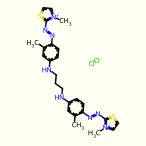 Cc1cc(NCCCNc2ccc(/N=N/c3scc[n+]3C)c(C)c2)ccc1/N=N/c1scc[n+]1C.[Cl-].[Cl-]